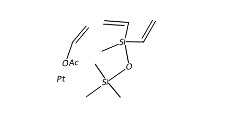 C=COC(C)=O.C=C[Si](C)(C=C)O[Si](C)(C)C.[Pt]